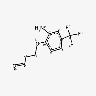 Nc1cc(C(F)(F)F)ccc1OCCC=O